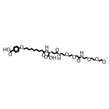 O=[C]COCCOCCNC(=O)COCCOCCNC(=O)CC[C@H](NC(=O)CCCCCCCCOc1ccc(C(=O)O)cc1)C(=O)O